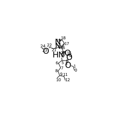 CCOC(=O)C(CCCC(C)CC)NC(=O)c1ccnn1CCOC